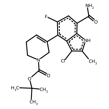 Cc1[nH]c2c(C(N)=O)cc(F)c(C3=CCCN(C(=O)OC(C)(C)C)C3)c2c1Cl